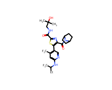 CCC(Nc1cc(C(F)(F)F)c(-c2sc(C(=O)NCC(C)(C)O)nc2C(=O)N2C3CCC2CC3)cn1)C(F)(F)F